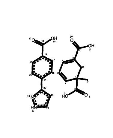 CC1(C(=O)O)C=CC=C(C(=O)O)C1.O=C(O)c1ccc(-c2cc[nH]n2)cc1